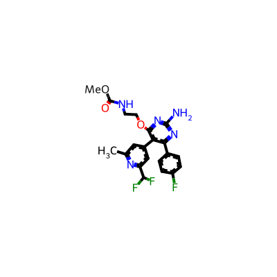 COC(=O)NCCOc1nc(N)nc(-c2ccc(F)cc2)c1-c1cc(C)nc(C(F)F)c1